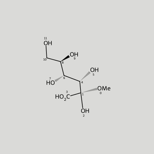 CO[C@](O)(C(=O)O)[C@@H](O)[C@H](O)[C@H](O)CO